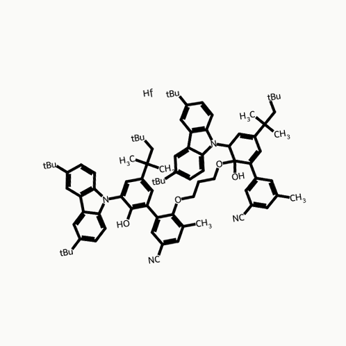 Cc1cc(C#N)cc(C2=CC(C(C)(C)CC(C)(C)C)=CC(n3c4ccc(C(C)(C)C)cc4c4cc(C(C)(C)C)ccc43)C2(O)OCCCOc2c(C)cc(C#N)cc2-c2cc(C(C)(C)CC(C)(C)C)cc(-n3c4ccc(C(C)(C)C)cc4c4cc(C(C)(C)C)ccc43)c2O)c1.[Hf]